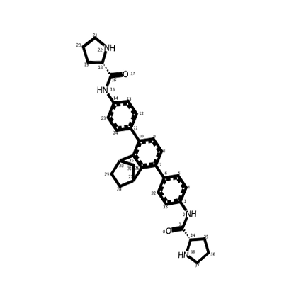 O=C(Nc1ccc(-c2ccc(-c3ccc(NC(=O)[C@@H]4CCCN4)cc3)c3c2C2CCC3C2)cc1)[C@@H]1CCCN1